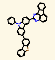 c1ccc(-n2c3ccc(-c4ccc5sc6ccccc6c5c4)cc3c3cc(-c4nc5c6c(cccc6n4)-c4ccccc4-5)ccc32)cc1